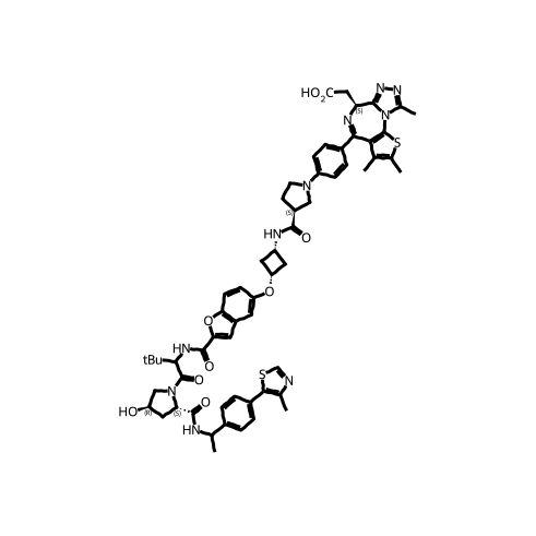 Cc1ncsc1-c1ccc(C(C)NC(=O)[C@@H]2C[C@@H](O)CN2C(=O)C(NC(=O)c2cc3cc(O[C@H]4C[C@@H](NC(=O)[C@H]5CCN(c6ccc(C7=N[C@@H](CC(=O)O)c8nnc(C)n8-c8sc(C)c(C)c87)cc6)C5)C4)ccc3o2)C(C)(C)C)cc1